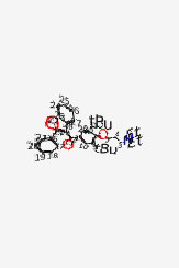 CCN(CC)CCCOc1c(C(C)(C)C)cc(C(=O)c2c(-c3ccccc3)oc3ccccc23)cc1C(C)(C)C